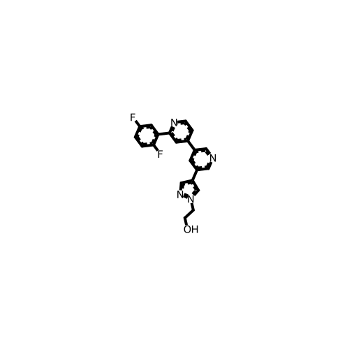 OCCn1cc(-c2cncc(-c3ccnc(-c4cc(F)ccc4F)c3)c2)cn1